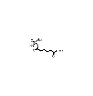 COC(=O)CCCCC(=O)OS(=N)(=O)C(C)(C)C